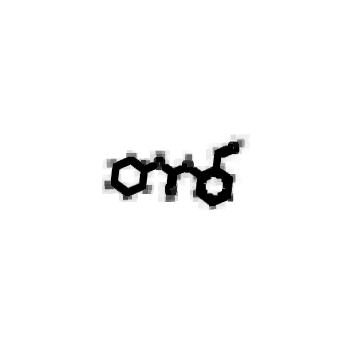 O=Cc1ccccc1OC(=O)OC1CCCCC1